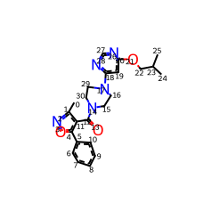 Cc1noc(-c2ccccc2)c1C(=O)N1CCN(c2cc(OCC(C)C)ncn2)CC1